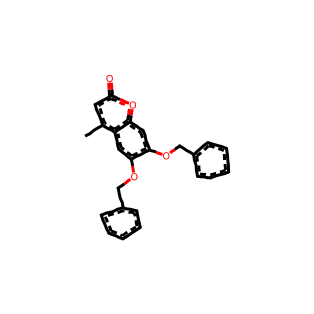 Cc1cc(=O)oc2cc(OCc3ccccc3)c(OCc3ccccc3)cc12